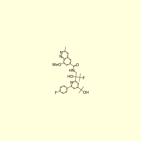 COc1cc(C(=O)NCC(O)(c2cc(C(C)(C)O)cc(-c3ccc(F)cc3)n2)C(C)(C)F)cc2cc(C)nnc12